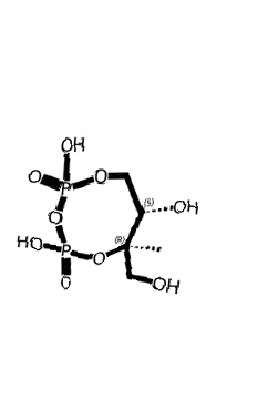 C[C@]1(CO)OP(=O)(O)OP(=O)(O)OC[C@@H]1O